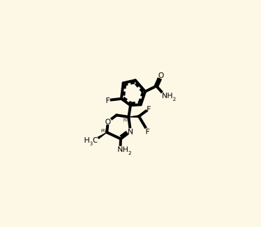 C[C@H]1OC[C@@](c2cc(C(N)=O)ccc2F)(C(F)F)N=C1N